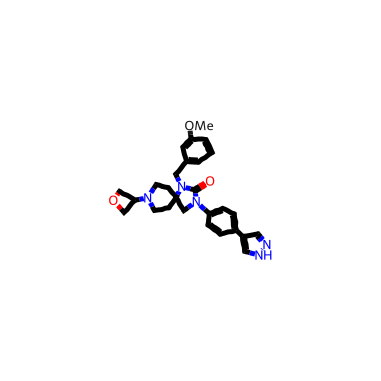 COc1cccc(CN2C(=O)N(c3ccc(-c4cn[nH]c4)cc3)CC23CCN(C2COC2)CC3)c1